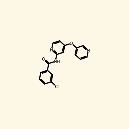 O=C(Nc1cc(Oc2cccnc2)ccn1)c1cccc(Cl)c1